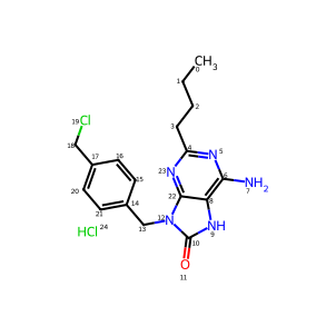 CCCCc1nc(N)c2[nH]c(=O)n(Cc3ccc(CCl)cc3)c2n1.Cl